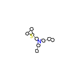 c1ccc(-c2ccc(N(c3ccc(-c4ccc5ccccc5c4)cc3)c3ccc(-c4cc5c6ccccc6c6ccccc6c5s4)cc3)cc2)cc1